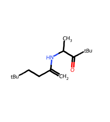 C=C(CCC(C)(C)C)NC(C)C(=O)C(C)(C)C